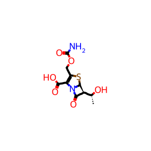 C[C@@H](O)[C@H]1C(=O)N2C(C(=O)O)=C(COC(N)=O)SC12